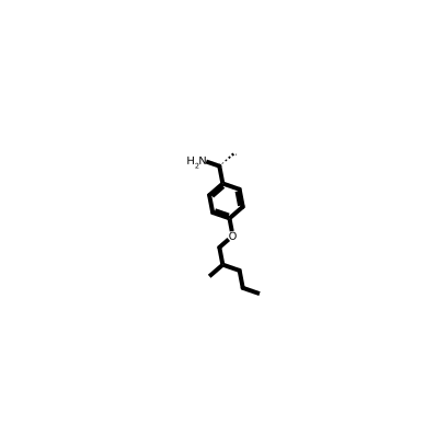 [CH2][C@@H](N)c1ccc(OCC(C)CCC)cc1